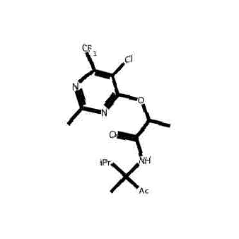 CC(=O)C(C)(NC(=O)C(C)Oc1nc(C)nc(C(F)(F)F)c1Cl)C(C)C